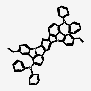 CCc1ccc2c(c1)c1c(N(c3ccccc3)c3ccccc3)ccc3c4cc5c(cc4n2c31)c1ccc(N(c2ccccc2)c2ccccc2)c2c3cc(CC)ccc3n5c12